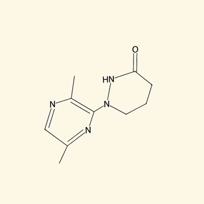 Cc1cnc(C)c(N2CCCC(=O)N2)n1